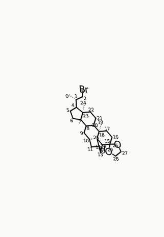 C[C@H](CBr)C1CCC2C3CC4CC5C[C@H]6C7(CC[C@](C)(C3CC[C@@]21C)[C@]456)OCCO7